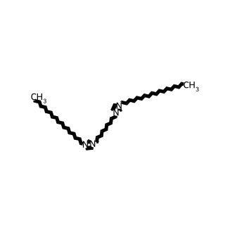 CCCCCCCCCCCCCCCCCCn1cc[n+](CCCCCCCCC[n+]2ccn(CCCCCCCCCCCCCCCCCC)c2)c1